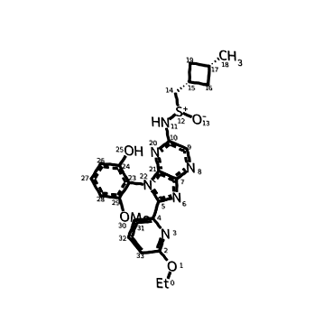 CCOC1=NC(c2nc3ncc(N[S+]([O-])C[C@H]4C[C@@H](C)C4)nc3n2-c2c(O)cccc2OC)=C=C=C1